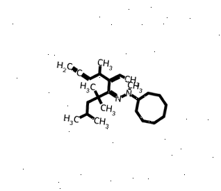 C=C=CC(C)C(=C/C)/C(=N\N(C)C1CCCCCCC1)C(C)(C)CC(C)C